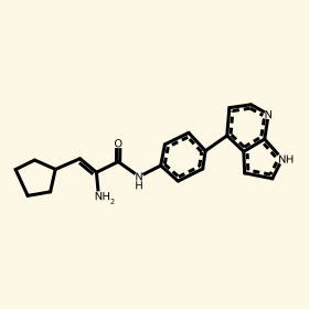 NC(=CC1CCCC1)C(=O)Nc1ccc(-c2ccnc3[nH]ccc23)cc1